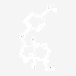 CC(=O)O[C@H]1CO[C@@H]2C(Oc3ccc(N)cc3)CO[C@H]12